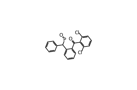 O=PC(c1ccccc1)c1ccccc1C(=O)c1c(Cl)cccc1Cl